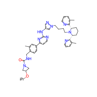 Cc1cc(-c2ccnc(Nc3cnn(CCCCN4[C@@H](c5ncccc5C)CCC[C@H]4c4ncccc4C)c3)n2)ccc1CNC(=O)N1CC(OC(C)C)C1